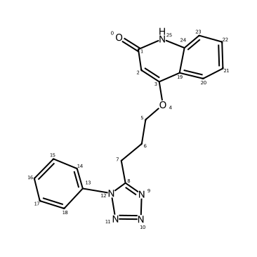 O=c1cc(OCCCc2nnnn2-c2ccccc2)c2ccccc2[nH]1